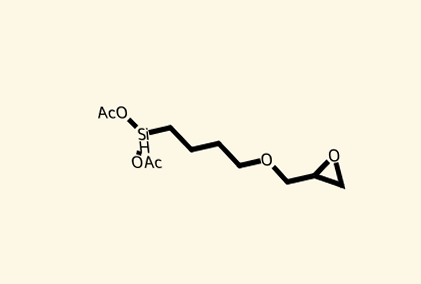 CC(=O)O[SiH](CCCCOCC1CO1)OC(C)=O